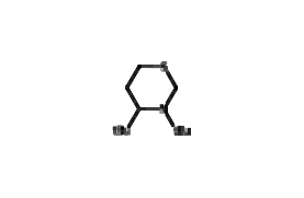 CC(C)(C)C1CCSCN1C(C)(C)C